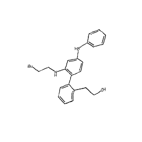 CCC(C)CCNc1cc(Nc2ccccc2)ccc1-c1ccccc1CCO